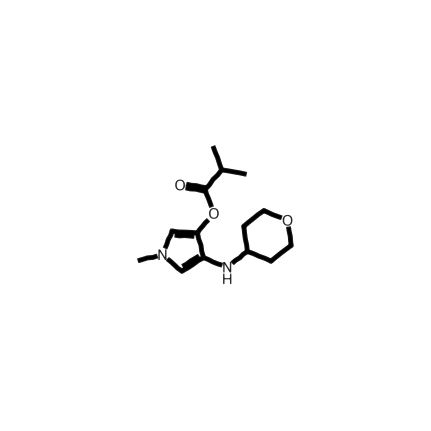 CC(C)C(=O)Oc1cn(C)cc1NC1CCOCC1